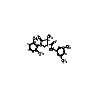 Cc1cc(NC(=O)[C@@H]2CN(c3c(C)cccc3C)C(=O)[C@H]2C)cc(C(F)(F)F)c1